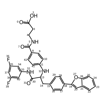 O=C(O)CCNC(=O)c1ccc(NC(Cc2ccc(-c3cc4ccccc4o3)cc2)C(=O)Nc2cc(F)cc(F)c2)cc1